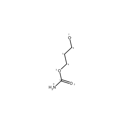 NC(=O)OCCC[O]